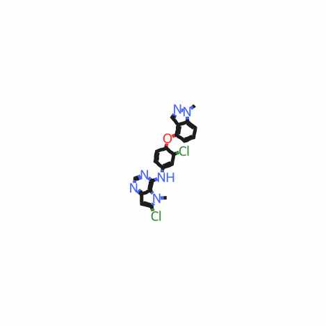 Cn1ncc2c(OC3C=CC(Nc4ncnc5cc(Cl)n(C)c45)=CC3Cl)cccc21